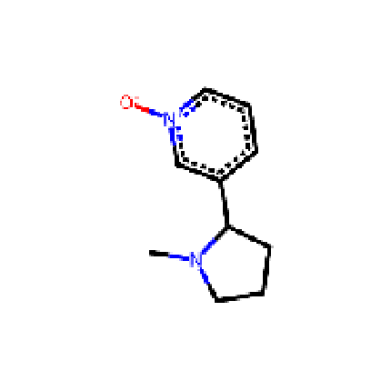 CN1CCCC1c1ccc[n+]([O-])c1